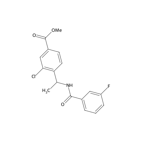 COC(=O)c1ccc(C(C)NC(=O)c2cccc(F)c2)c(Cl)c1